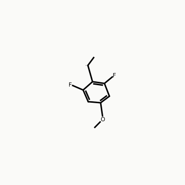 C[CH]c1c(F)cc(OC)cc1F